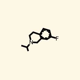 CC(C)N1CCc2ccc(F)cc2C1